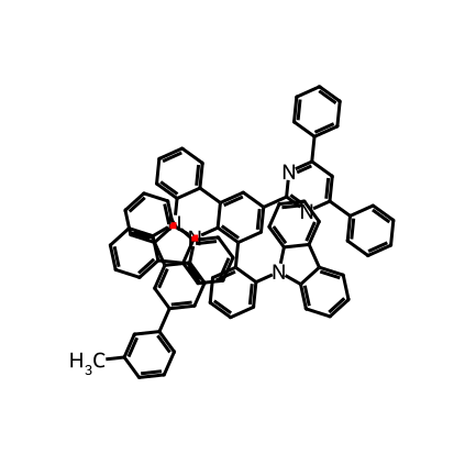 Cc1cccc(-c2ccc3c(c2)c2ccccc2n3-c2c(-c3ccccc3-n3c4ccccc4c4ccccc43)cc(-c3nc(-c4ccccc4)cc(-c4ccccc4)n3)cc2-c2ccccc2-n2c3ccccc3c3ccccc32)c1